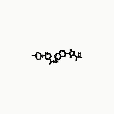 C=C(Nc1cc2cc(-c3ncc(C(=C)NC)s3)ccc2cn1)c1ccnc(N2CCN(C)CC2)c1